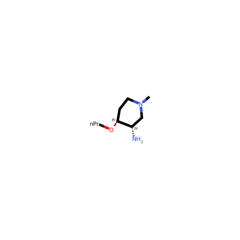 CCCO[C@@H]1CCN(C)C[C@@H]1N